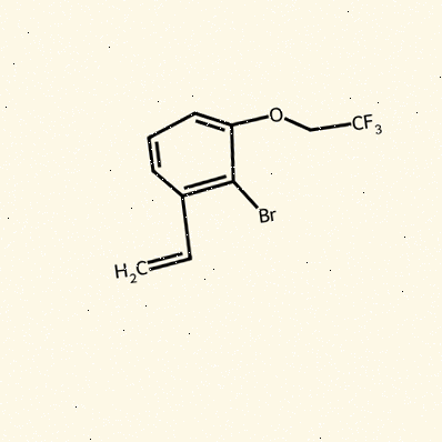 C=Cc1cccc(OCC(F)(F)F)c1Br